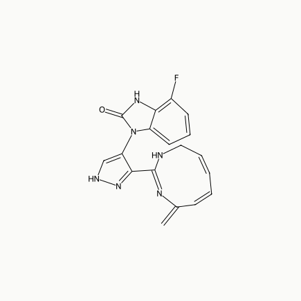 C=C1/C=C\C=C/CN/C(c2n[nH]cc2-n2c(=O)[nH]c3c(F)cccc32)=N\1